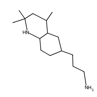 CC1CC(C)(C)NC2CCC(CCCN)CC12